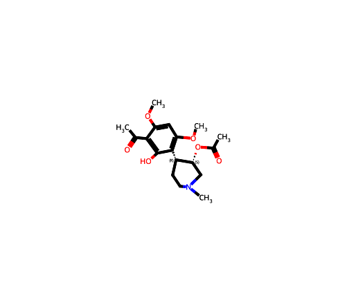 COc1cc(OC)c([C@H]2CCN(C)C[C@H]2OC(C)=O)c(O)c1C(C)=O